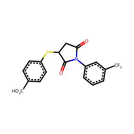 O=C(O)c1ccc(SC2CC(=O)N(c3cccc(C(F)(F)F)c3)C2=O)cc1